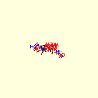 Cc1c(-c2ccc(-c3cnc4cccc(C(=O)Nc5nc6ccccc6s5)c4c3)nc2C(=O)O)cnn1CC12CC3(C)CC(C)(C1)CC(OCCN(C)C(=O)OCc1ccc(OCCOCCNC(=O)CCCCCN4C(=O)C=CC4=O)cc1O[C@@H]1O[C@H](C(=O)O)[C@@H](O)[C@H](O)[C@H]1O)(C3)C2